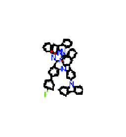 Fc1ccc(-c2ccc(-c3nc(-c4ccccc4)nc(-c4ccccc4)n3)c(-n3c4cc(-n5c6ccccc6c6ccccc65)ccc4c4ccc(-n5c6ccccc6c6ccccc65)cc43)c2)cc1